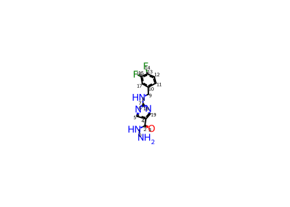 NNC(=O)c1cnc(NCc2ccc(F)c(F)c2)nc1